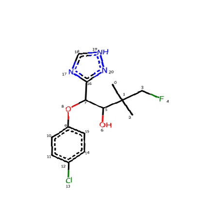 CC(C)(CF)C(O)C(Oc1ccc(Cl)cc1)c1nc[nH]n1